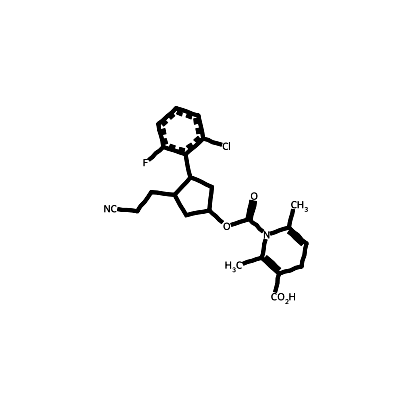 CC1=CCC(C(=O)O)=C(C)N1C(=O)OC1CC(CCC#N)C(c2c(F)cccc2Cl)C1